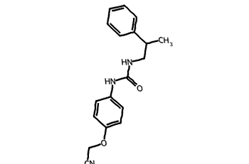 CC(CNC(=O)Nc1ccc(OCC#N)cc1)c1ccccc1